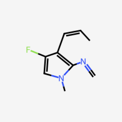 C=Nc1c(/C=C\C)c(F)cn1C